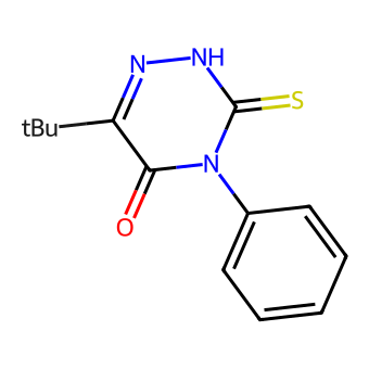 CC(C)(C)c1n[nH]c(=S)n(-c2ccccc2)c1=O